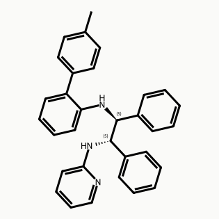 Cc1ccc(-c2ccccc2N[C@@H](c2ccccc2)[C@@H](Nc2ccccn2)c2ccccc2)cc1